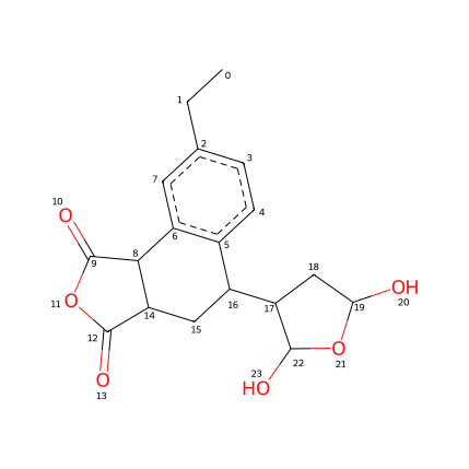 CCc1ccc2c(c1)C1C(=O)OC(=O)C1CC2C1CC(O)OC1O